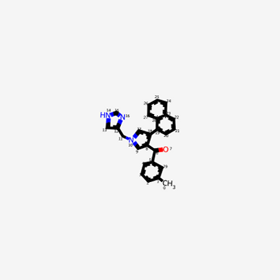 Cc1cccc(C(=O)c2cn(Cc3c[nH]cn3)cc2-c2cccc3ccccc23)c1